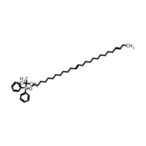 CC/C=C/CCCCCCCCC/C=C/CCCCCCCCCCCO[Si](c1ccccc1)(c1ccccc1)C(C)(C)C